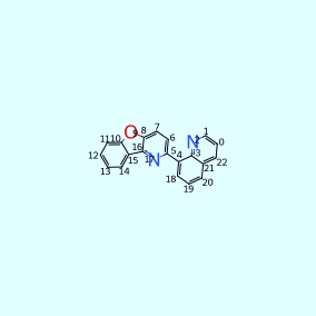 c1cnc2c(-c3ccc4oc5ccccc5c4n3)cccc2c1